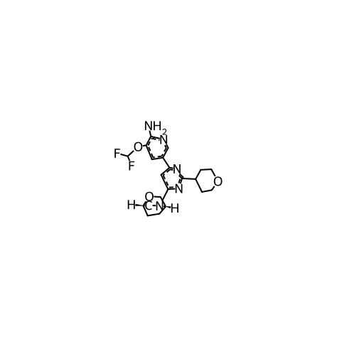 Nc1ncc(-c2cc(N3C[C@@H]4CC[C@H]3CO4)nc(C3CCOCC3)n2)cc1OC(F)F